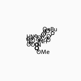 CCCCOC(=O)N1CCN(C(=O)[C@H](CCC(=O)OCC2CCCC2)NC(=O)c2cc(OCC(=O)N3CCC[C@H]3C(=O)NC3CCC3)c3ccc(OC)cc3n2)CC1